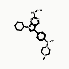 CCCCNc1ncc2c(-c3ccc([S+]([O-])N4CCN(C)CC4)cc3)cn(C3CCCCC3)c2n1